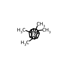 C[C]12[CH]3[CH]4[C]5(C)[CH]1[Fe]34251678[CH]2[CH]1[C]6(C)[CH]7[C]28C